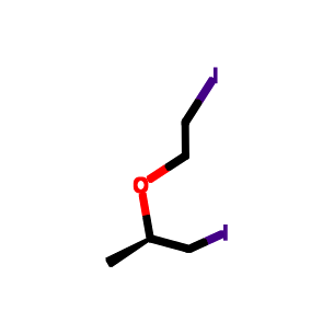 C[C@H](CI)OCCI